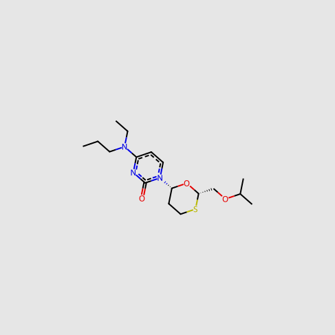 CCCN(CC)c1ccn([C@H]2CCS[C@@H](COC(C)C)O2)c(=O)n1